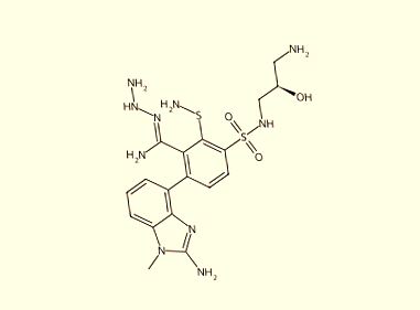 Cn1c(N)nc2c(-c3ccc(S(=O)(=O)NC[C@H](O)CN)c(SN)c3/C(N)=N/NN)cccc21